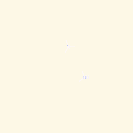 Cc1cc(F)c2[nH]c3c(c2c1)CN1CCCC1C3